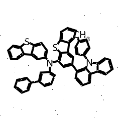 Cc1ccc(-n2c3ccccc3c3cccc(-c4cc(N(c5cccc(-c6ccccc6)c5)c5ccc6sc7ccccc7c6c5)c5sc6ccccc6c5c4)c32)cc1